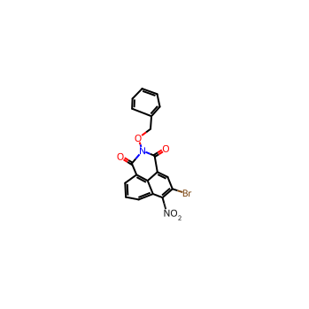 O=C1c2cccc3c([N+](=O)[O-])c(Br)cc(c23)C(=O)N1OCc1ccccc1